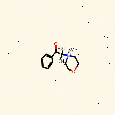 CS[N+]1(C(C)(C)C(=O)c2ccccc2)CCOCC1